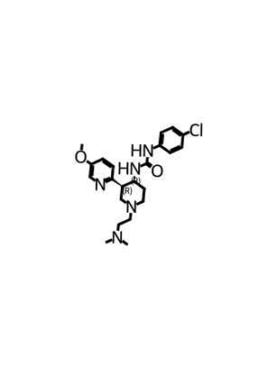 COc1ccc([C@@H]2CN(CCN(C)C)CC[C@H]2NC(=O)Nc2ccc(Cl)cc2)nc1